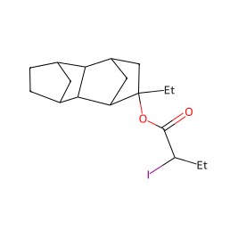 CCC(I)C(=O)OC1(CC)CC2CC1C1C3CCC(C3)C21